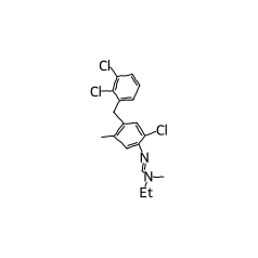 CCN(C)C=Nc1cc(C)c(Cc2cccc(Cl)c2Cl)cc1Cl